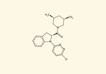 C[C@@H]1C[C@H](C)CN(C(=O)[C@@H]2Cc3ccccc3N2c2ccc(Cl)nn2)C1